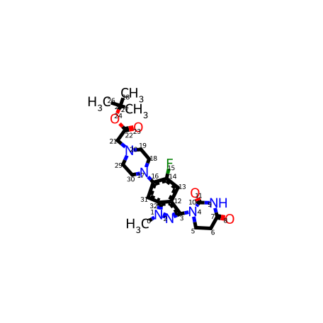 Cn1nc(N2CCC(=O)NC2=O)c2cc(F)c(N3CCN(CC(=O)OC(C)(C)C)CC3)cc21